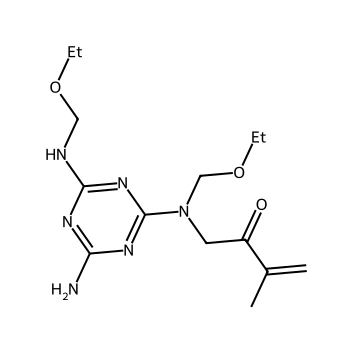 C=C(C)C(=O)CN(COCC)c1nc(N)nc(NCOCC)n1